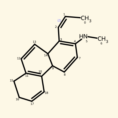 C/C=C\C1=C(NC)C=CC2C3=C(C=CC12)CCC=C3